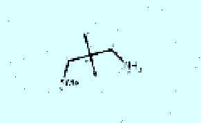 CSCC(C)(C)CN